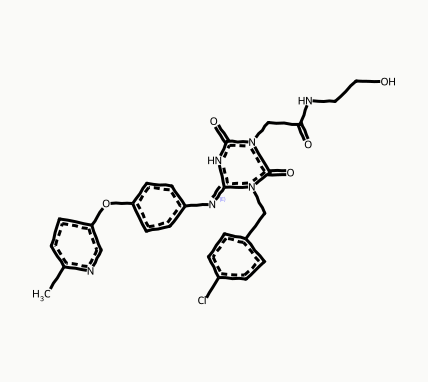 Cc1ccc(Oc2ccc(/N=c3\[nH]c(=O)n(CC(=O)NCCO)c(=O)n3Cc3ccc(Cl)cc3)cc2)cn1